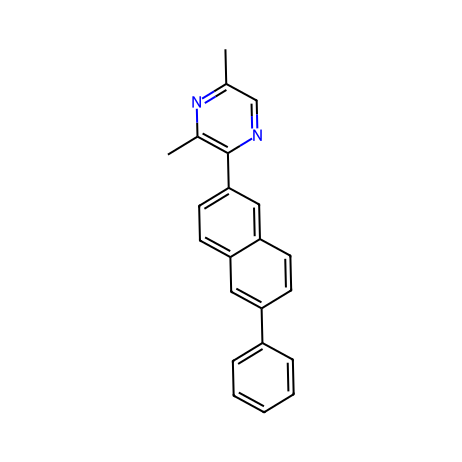 Cc1cnc(-c2ccc3cc(-c4ccccc4)ccc3c2)c(C)n1